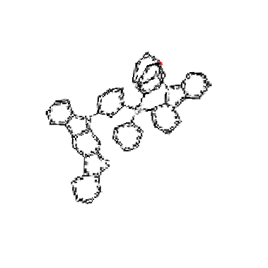 c1ccc(-n2c3ccccc3c3cccc([Si](c4ccccc4)(c4ccccc4)c4cccc(-n5c6ccccc6c6cc7c(cc65)sc5ccccc57)c4)c32)cc1